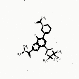 CC(=O)N1CCC=C(c2cc(B3OC(C)(C)C(C)(C)O3)c3cc(C(=O)N(C)C)sc3c2F)C1